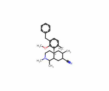 COc1c(Cc2ccccc2)ccc(C)c1[C@]12CCN(C)C(C)C1CC(C#N)C(C)C2